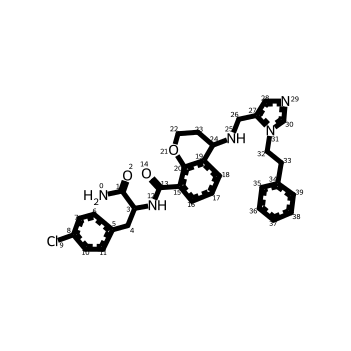 NC(=O)C(Cc1ccc(Cl)cc1)NC(=O)c1cccc2c1OCCC2NCc1cncn1CCc1ccccc1